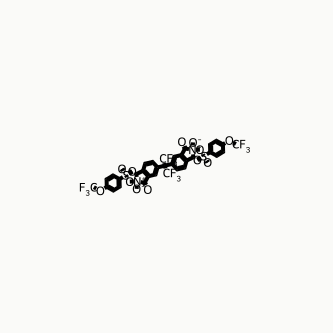 O=C1c2cc(C(c3ccc4c(c3)C(=O)[N+]([O-])(OS(=O)(=O)c3ccc(OC(F)(F)F)cc3)C4)(C(F)(F)F)C(F)(F)F)ccc2C[N+]1([O-])OS(=O)(=O)c1ccc(OC(F)(F)F)cc1